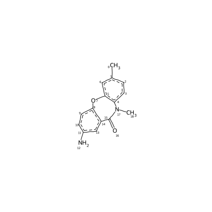 Cc1ccc2c(c1)Oc1ccc(N)cc1C(=O)N2C